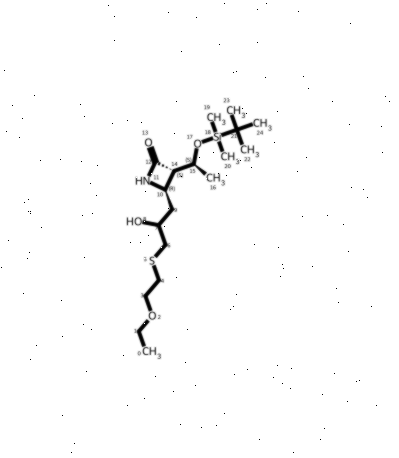 CCOCCSCC(O)C[C@H]1NC(=O)[C@@H]1[C@H](C)O[Si](C)(C)C(C)(C)C